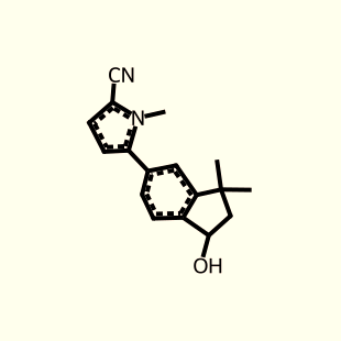 Cn1c(C#N)ccc1-c1ccc2c(c1)C(C)(C)CC2O